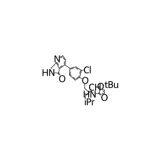 CC(C)CC(C)(COc1ccc(-c2ccnc3c2C(=O)NC3)cc1Cl)NC(=O)OC(C)(C)C